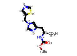 CC(C)(C)OC(=O)N[C@@H](Cc1cn(Cc2cncs2)cn1)C(=O)O